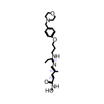 CC\C(=N/C=C(C)/C=C/C(=O)NO)NCCCOc1ccc(CN2CCOCC2)cc1